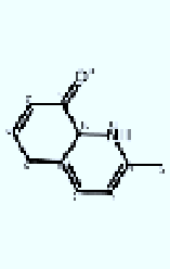 CC1=CC=C2CC=CC(=O)C2N1